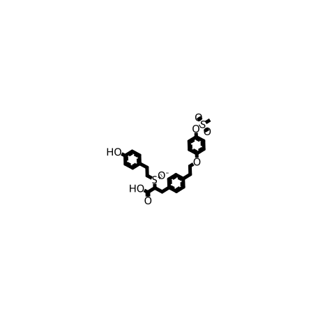 CS(=O)(=O)Oc1ccc(OCCc2ccc(CC(C(=O)O)[S+]([O-])CCc3ccc(O)cc3)cc2)cc1